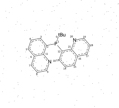 CC(C)(C)P(c1cccc2cccnc12)c1cccc2cccnc12